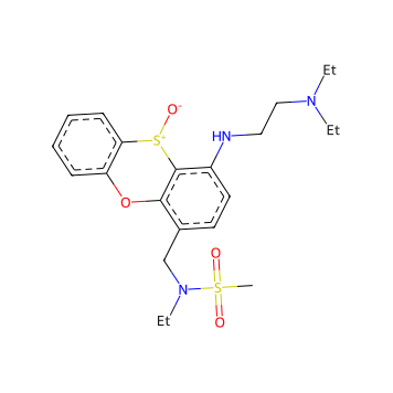 CCN(CC)CCNc1ccc(CN(CC)S(C)(=O)=O)c2c1[S+]([O-])c1ccccc1O2